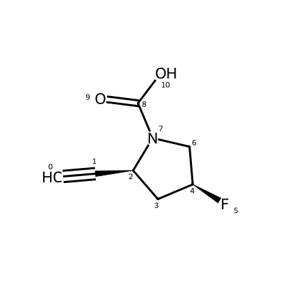 C#C[C@@H]1C[C@H](F)CN1C(=O)O